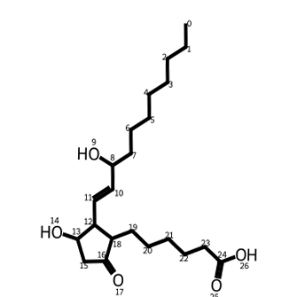 CCCCCCCCC(O)C=CC1C(O)CC(=O)C1CCCCCC(=O)O